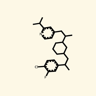 CC(C)c1cc(CC(C)C2CCCC(CC(C)c3ccc(Cl)c(F)c3)C2)ccn1